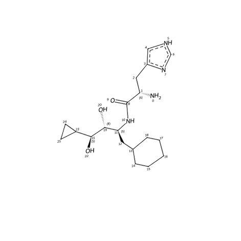 N[C@@H](Cc1c[nH]cn1)C(=O)N[C@@H](CC1CCCCC1)[C@@H](O)[C@@H](O)C1CC1